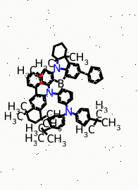 Cc1cc2c3c(c1)N1c4c(cc(-c5ccccc5)cc4C4(C)CCCCC14C)B3c1ccc(N(c3ccc(C(C)(C)C)cc3)c3ccc(C(C)(C)C)cc3)cc1N2c1cc2c(cc1-c1ccccc1)C(C)(C)CCC2(C)C